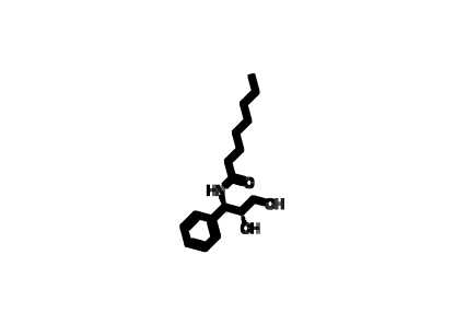 CCCCCCCC(=O)N[C@H](c1ccccc1)[C@@H](O)CO